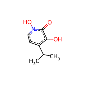 CC(C)c1ccn(O)c(=O)c1O